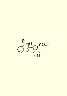 CCC(NC(=O)c1cc(C(=O)O)c2n1CCOC2)c1ccccc1